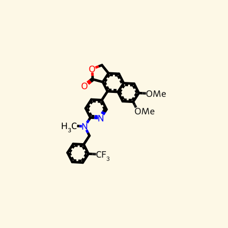 COc1cc2cc3c(c(-c4ccc(N(C)Cc5ccccc5C(F)(F)F)nc4)c2cc1OC)C(=O)OC3